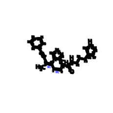 C=C(/C=C\C(=C(/C)C#Cc1ccccc1)n1cnnc1)C(=O)NCCCc1cn[nH]c1